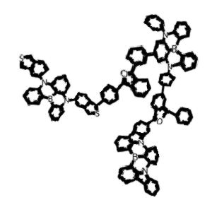 c1ccc(-c2oc(-c3ccc4c5cccc6c5n(c4c3)-c3cccc4c3B6c3cccc5c6ccccc6n-4c35)c3ccc(-c4ccc(N5c6ccccc6B6c7ccccc7N(c7ccccc7)c7cc(-c8cccc(-c9oc(-c%10ccc(-c%11scc%12cc(N%13c%14ccccc%14B%14c%15ccccc%15N(c%15ccc%16cscc%16c%15)c%15cccc%13c%15%14)ccc%11%12)cc%10)c%10ccccc9%10)c8)cc5c76)cc4)cc23)cc1